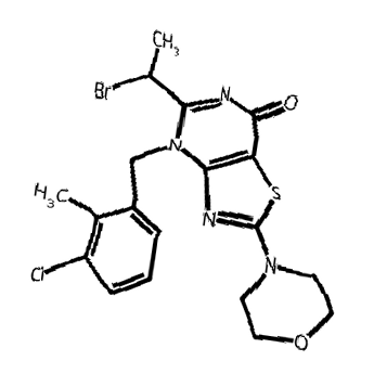 Cc1c(Cl)cccc1Cn1c(C(C)Br)nc(=O)c2sc(N3CCOCC3)nc21